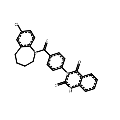 O=C(c1ccc(-n2c(=O)[nH]c3ccccc3c2=O)cc1)N1CCCCc2cc(Cl)ccc21